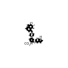 C=CC(Cl)[C@H](C)[C@@H](C)C1=C(CN2CCN(c3ccc(C(=O)O)c(Oc4cnc5[nH]ccc5c4)c3)CC2)CCC(C)(C)C1